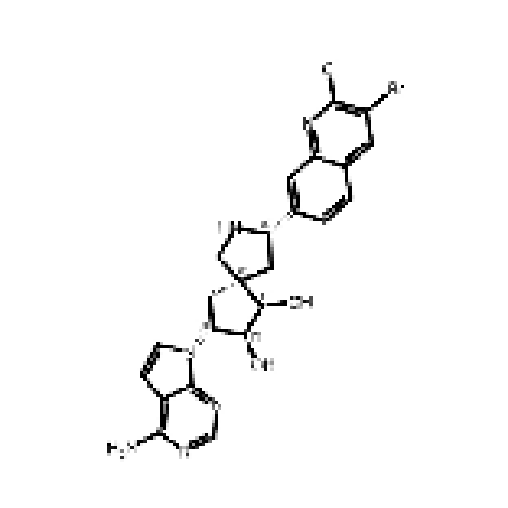 Nc1ncnc2c1ccn2[C@@H]1C[C@@]2(CN[C@H](c3ccc4cc(Br)c(Cl)nc4c3)C2)[C@@H](O)[C@H]1O